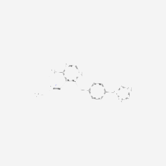 CO/N=C/c1c(N)ncnc1Oc1ccc(-n2cncn2)cc1